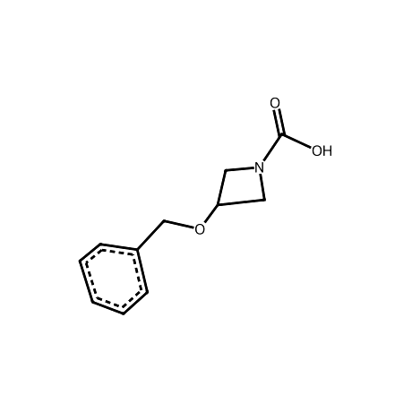 O=C(O)N1CC(OCc2ccccc2)C1